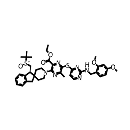 CCOC(=O)c1nc(Sc2ccnc(NCc3ccc(OC)cc3OC)n2)c(C)nc1N1CCC2(CC1)Cc1ccccc1[C@H]2C[S@@+]([O-])C(C)(C)C